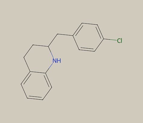 Clc1ccc(CC2CCc3ccccc3N2)cc1